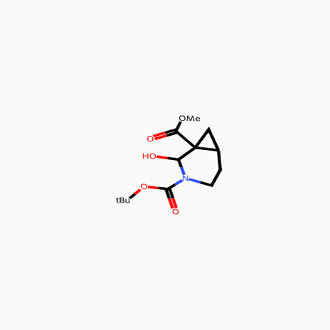 COC(=O)C12CC1CCN(C(=O)OC(C)(C)C)C2O